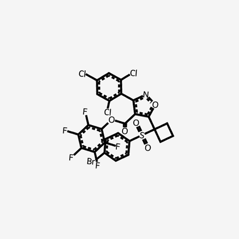 O=C(Oc1c(F)c(F)c(F)c(F)c1F)c1c(-c2c(Cl)cc(Cl)cc2Cl)noc1C1(S(=O)(=O)c2ccc(Br)cc2)CCC1